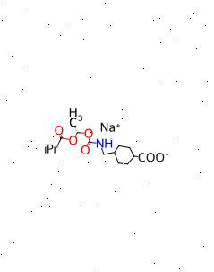 CC(C)C(=O)O[C@H](C)OC(=O)NCC1CCC(C(=O)[O-])CC1.[Na+]